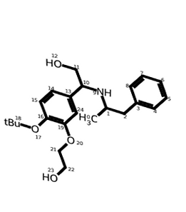 CC(Cc1ccccc1)NC(CO)c1ccc(OC(C)(C)C)c(OCCO)c1